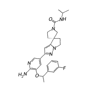 CC(C)NC(=O)N1CC[C@@]2(CCn3nc(-c4cnc(N)c(OC(C)c5cccc(F)c5)c4)cc32)C1